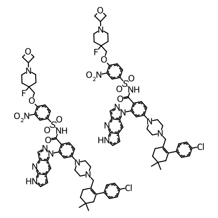 CC1(C)CCC(CN2CCN(c3ccc(C(=O)NS(=O)(=O)c4ccc(OCC5(F)CCN(C6COC6)CC5)c([N+](=O)[O-])c4)c(-n4ncc5nc6[nH]ccc6cc54)c3)CC2)=C(c2ccc(Cl)cc2)C1.CC1(C)CCC(CN2CCN(c3ccc(C(=O)NS(=O)(=O)c4ccc(OCC5(F)CCN(C6COC6)CC5)c([N+](=O)[O-])c4)c(-n4ncc5nc6[nH]ccc6cc54)c3)CC2)=C(c2ccc(Cl)cc2)C1